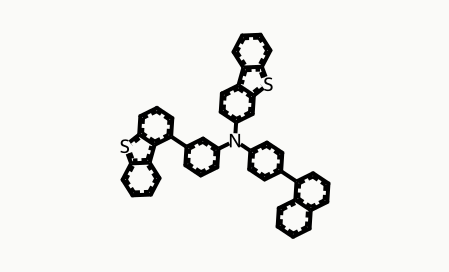 c1cc(-c2cccc3sc4ccccc4c23)cc(N(c2ccc(-c3cccc4ccccc34)cc2)c2ccc3c(c2)sc2ccccc23)c1